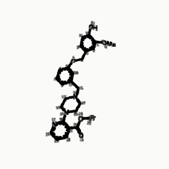 COc1cc(COc2cccc(CN3CCN(c4ncccc4C(=O)OC(C)C)CC3)c2)ccc1O